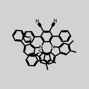 Cc1cc2c3ccc4c5ccccc5sc4c3n(-c3c(-c4ccccc4)c(C#N)c(C#N)c(-c4ccccc4)c3-n3c4cc(C)c(C)cc4c4ccc5c6ccccc6sc5c43)c2cc1C